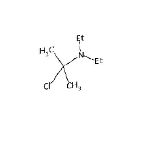 CCN(CC)C(C)(C)Cl